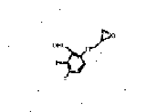 O=Cc1c(OC[C@H]2CO2)ccc(F)c1F